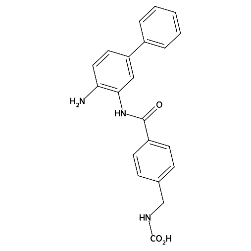 Nc1ccc(-c2ccccc2)cc1NC(=O)c1ccc(CNC(=O)O)cc1